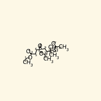 CCOC(=O)CCP(=O)(CCC(C)(C)SC(C)=O)OCC